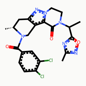 Cc1noc(C(C)N2CCn3nc4c(c3C2=O)CN(C(=O)c2ccc(Cl)c(Cl)c2)[C@H](C)C4)n1